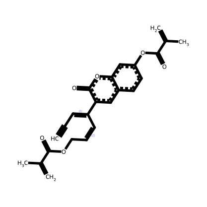 C#C/C=C(\C=C/COC(=O)C(=C)C)c1cc2ccc(OC(=O)C(=C)C)cc2oc1=O